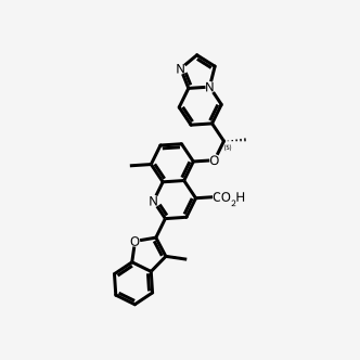 Cc1c(-c2cc(C(=O)O)c3c(O[C@@H](C)c4ccc5nccn5c4)ccc(C)c3n2)oc2ccccc12